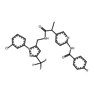 CC(C(=O)NCc1cc(C(F)(F)F)nn1-c1cccc(Cl)c1)c1ccc(NC(=O)c2ccc(F)cc2)nc1